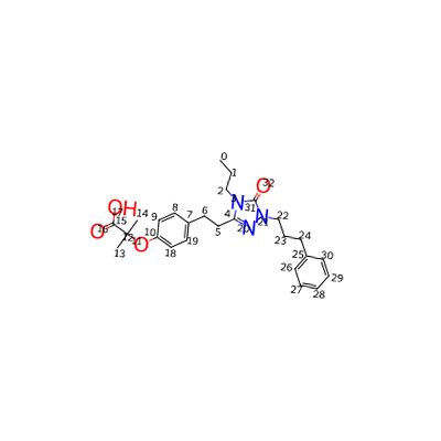 CCCn1c(CCc2ccc(OC(C)(C)C(=O)O)cc2)nn(CCCc2ccccc2)c1=O